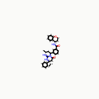 CCCC(c1cccc(C(=O)N[C@H]2CCOc3ccccc32)c1)N1C(=N)N[C@](CC)(c2ccccc2)CC1=O